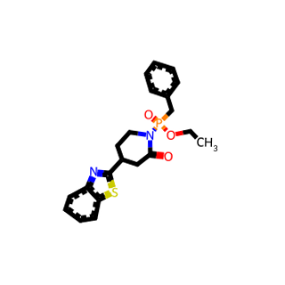 CCOP(=O)(Cc1ccccc1)N1CCC(c2nc3ccccc3s2)CC1=O